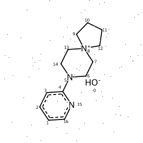 [OH-].c1ccc(N2CC[N+]3(CCCC3)CC2)nc1